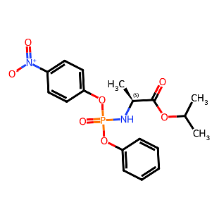 CC(C)OC(=O)[C@H](C)NP(=O)(Oc1ccccc1)Oc1ccc([N+](=O)[O-])cc1